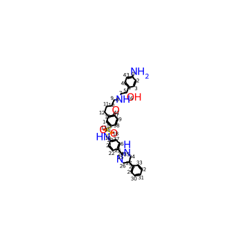 Nc1ccc(C(O)CNCC2CCc3cc(S(=O)(=O)Nc4ccc(C5=NCC(c6ccccc6)CN5)cc4)ccc3O2)cc1